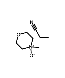 CCC#N.C[N+]1([O-])CCOCC1